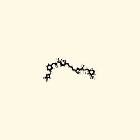 O=C(Cc1cncc(OC2CC(F)(F)C2)c1)Nc1ccc(CCCCn2cc(C(=O)NCc3cc(C(F)(F)F)ccn3)nn2)nn1